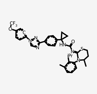 Cc1cccc(N2/C(=N/C(=O)NC3(c4ccc(-c5ncn(-c6ccc(OC(F)(F)F)cc6)n5)cc4)CC3)SCCC2C)c1C(C)C